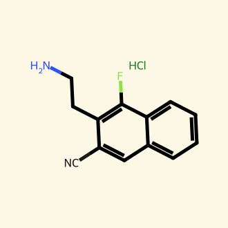 Cl.N#Cc1cc2ccccc2c(F)c1CCN